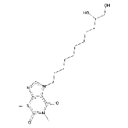 Cn1c(=O)c2c(ncn2CCCCCCCCCC(O)CO)n(C)c1=O